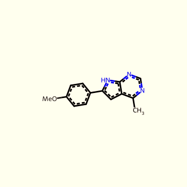 COc1ccc(-c2cc3c(C)ncnc3[nH]2)cc1